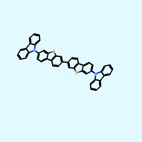 c1ccc2c(c1)c1ccccc1n2-c1ccc2c(c1)sc1cc(-c3ccc4c(c3)sc3cc(-n5c6ccccc6c6ccccc65)ccc34)ccc12